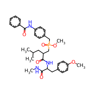 CNC(=O)C(Cc1ccc(OC)cc1)NC(=O)C(CC(C)C)CP(=O)(Cc1ccc(NC(=O)c2ccccc2)cc1)OC